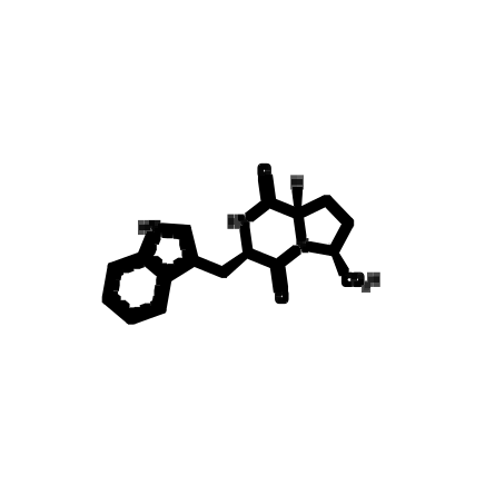 O=C(O)[C@@H]1CC[C@H]2C(=O)N[C@H](Cc3c[nH]c4ccccc34)C(=O)N12